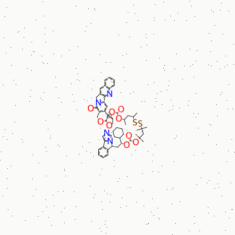 CC[C@@]1(OC(=O)OC(C)CC(C)SSC(C)(C)CC(C)(C)OC(=O)OC(CC2c3ccccc3-c3cncn32)C2CCCCC2)C(=O)OCc2c1cc1n(c2=O)Cc2cc3ccccc3nc2-1